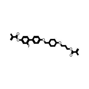 C=C(C)C(=O)OCCCOC1CCC(COc2ccc(-c3ccc(OC(=O)C(=C)C)cc3F)cc2)CC1